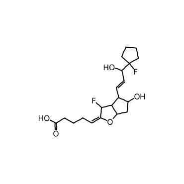 O=C(O)CCCC=C1OC2CC(O)C(C=CC(O)C3(F)CCCC3)C2C1F